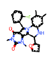 Cc1cc2c(cc1C)-n1c(-c3ccccc3F)c3c(=O)n(C)c(=O)n(C)c3c1C(c1ccco1)N2